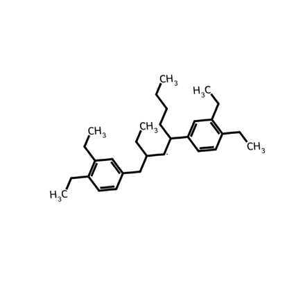 CCCCC([CH]C(CC)Cc1ccc(CC)c(CC)c1)c1ccc(CC)c(CC)c1